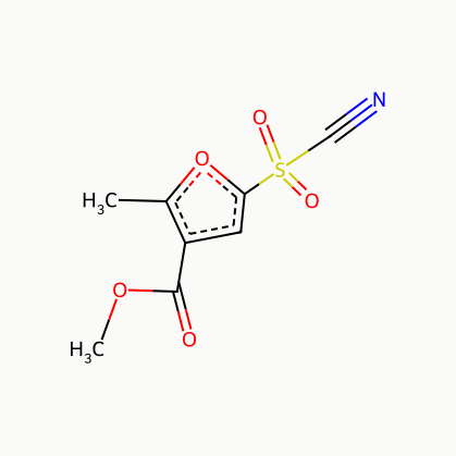 COC(=O)c1cc(S(=O)(=O)C#N)oc1C